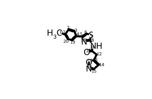 Cc1ccc(-c2csc(NC(=O)Cc3ccno3)n2)cc1